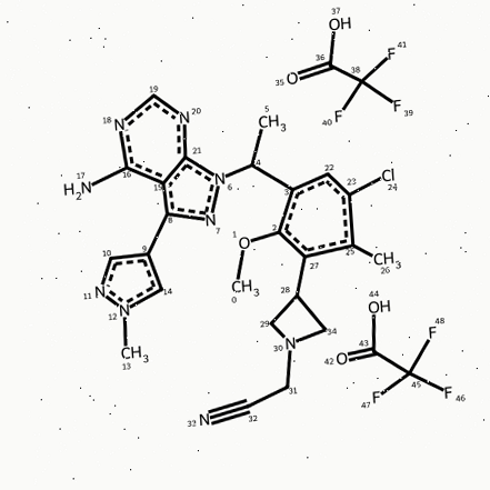 COc1c(C(C)n2nc(-c3cnn(C)c3)c3c(N)ncnc32)cc(Cl)c(C)c1C1CN(CC#N)C1.O=C(O)C(F)(F)F.O=C(O)C(F)(F)F